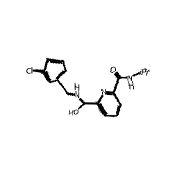 CC(C)NC(=O)c1cccc(C(O)NCc2cccc(Cl)c2)n1